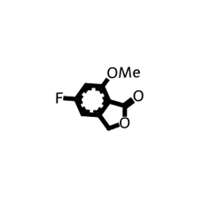 COc1cc(F)cc2c1C(=O)OC2